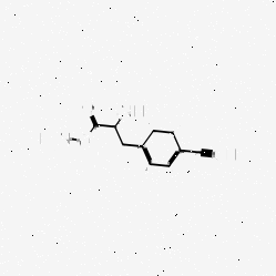 C#CC1=CC=C(CC(N)C(=O)ON)CC1